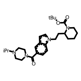 CC(C)N1CCN(C(=O)c2ccc3c(ccn3CCC3CCCCN3C(=O)OC(C)(C)C)c2)CC1